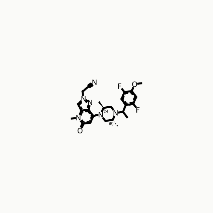 COc1cc(F)c(C(C)N2C[C@H](C)N(c3cc(=O)n(C)c4cn(CC#N)nc34)C[C@H]2C)cc1F